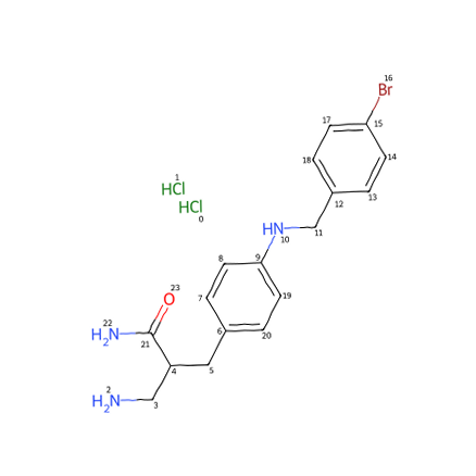 Cl.Cl.NCC(Cc1ccc(NCc2ccc(Br)cc2)cc1)C(N)=O